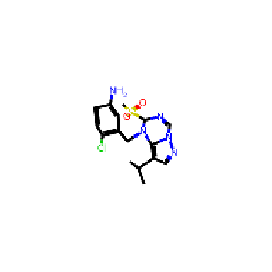 CC(C)c1cnn2c1N(Cc1cc(N)ccc1Cl)C(S(C)(=O)=O)N=C2